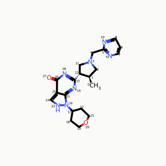 C[C@@H]1CN(Cc2ncccn2)C[C@H]1c1nc2n(C3CCOCC3)[nH]cc-2c(=O)n1